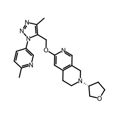 Cc1ccc(-n2nnc(C)c2COc2cc3c(cn2)CN([C@@H]2CCOC2)CC3)cn1